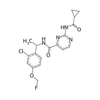 CC(NC(=O)c1ccnc(NC(=O)C2CC2)n1)c1ccc(OCF)cc1Cl